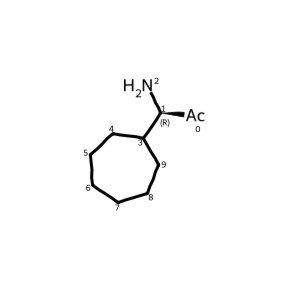 CC(=O)[C@H](N)C1CCCCCC1